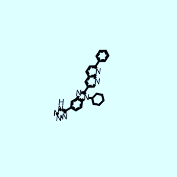 c1ccc(-c2ccc3cc(-c4nc5cc(-c6nnn[nH]6)ccc5n4C4CCCCC4)cnc3n2)cc1